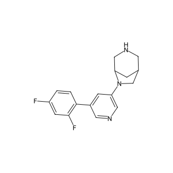 Fc1ccc(-c2cncc(N3CC4CNCC3C4)c2)c(F)c1